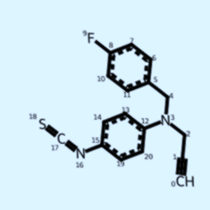 C#CCN(Cc1ccc(F)cc1)c1ccc(N=C=S)cc1